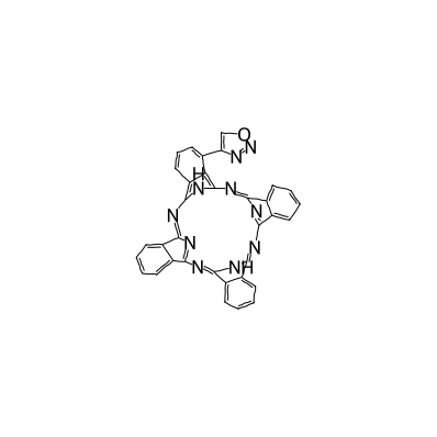 c1ccc2c(c1)-c1nc-2nc2[nH]c(nc3nc(nc4[nH]c(n1)c1ccccc41)-c1ccccc1-3)c1c(-c3conn3)cccc21